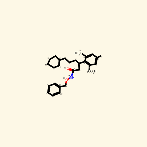 Cc1cc(C(=O)O)c(C(CCCC2CCCCC2)CC(=O)NOCc2ccccc2)c(C(=O)O)c1